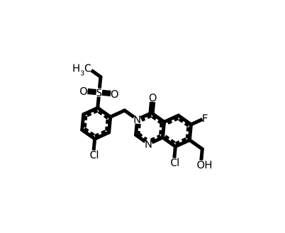 CCS(=O)(=O)c1ccc(Cl)cc1Cn1cnc2c(Cl)c(CO)c(F)cc2c1=O